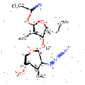 CC(=O)OC[C@H]1OC(OC(=N)C(Cl)(Cl)Cl)[C@H](OC(C)=O)[C@@H]1O[C@H]1OC[C@@H](O)[C@H](OC(C)=O)C1N=[N+]=[N-]